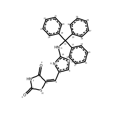 O=C1NC(=O)/C(=C\c2csc(NC(c3ccccc3)(c3ccccc3)c3ccccc3)n2)S1